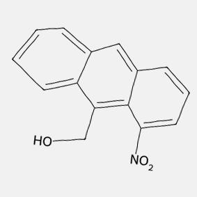 O=[N+]([O-])c1cccc2cc3ccccc3c(CO)c12